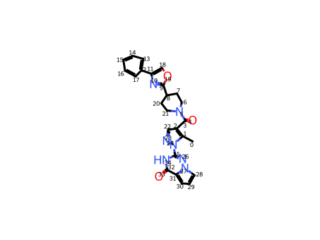 Cc1c(C(=O)N2CCC(c3nc(-c4ccccc4)co3)CC2)cnn1-c1nn2cccc2c(=O)[nH]1